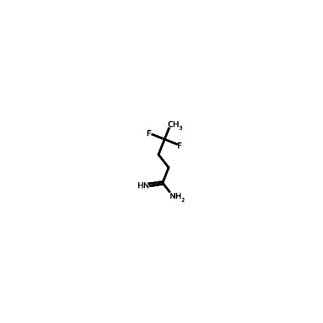 CC(F)(F)CCC(=N)N